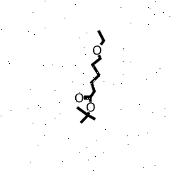 CCOCCCCCC(=O)OC(C)(C)C